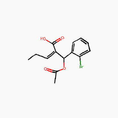 CCC=C(C(=O)O)C(OC(C)=O)c1ccccc1Br